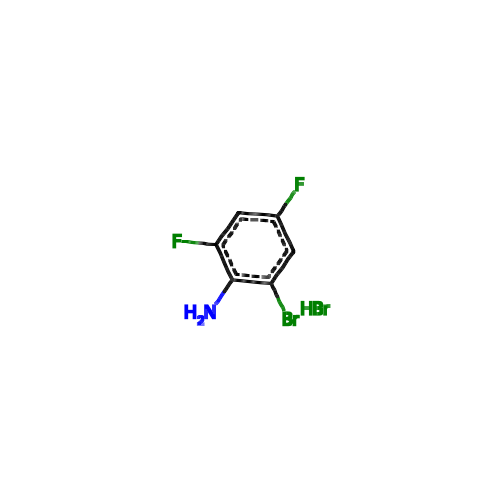 Br.Nc1c(F)cc(F)cc1Br